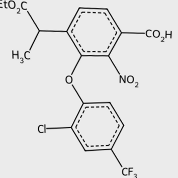 CCOC(=O)C(C)c1ccc(C(=O)O)c([N+](=O)[O-])c1Oc1ccc(C(F)(F)F)cc1Cl